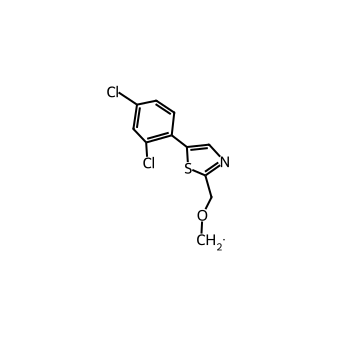 [CH2]OCc1ncc(-c2ccc(Cl)cc2Cl)s1